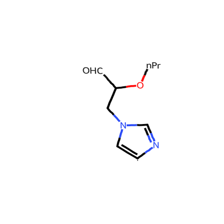 CCCOC(C=O)Cn1c[c]nc1